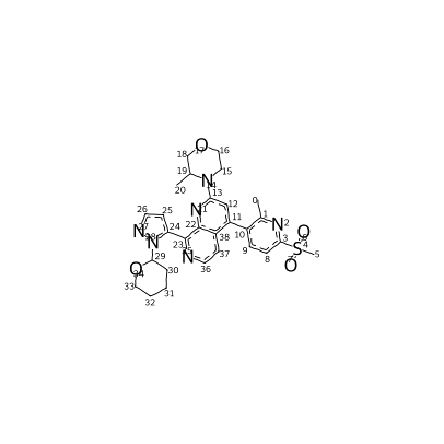 Cc1nc(S(C)(=O)=O)ccc1-c1cc(N2CCOCC2C)nc2c(-c3ccnn3C3CCCCO3)nccc12